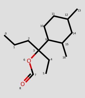 CCCC(CC)(OC=O)C1CCC(C)CC1C